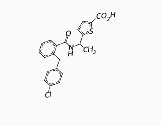 CC(NC(=O)c1ccccc1Cc1ccc(Cl)cc1)c1ccc(C(=O)O)s1